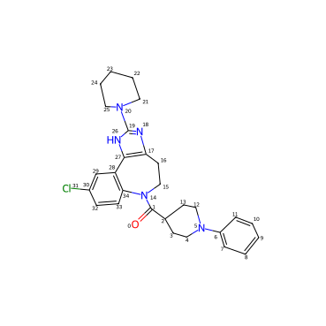 O=C(C1CCN(c2ccccc2)CC1)N1CCc2nc(N3CCCCC3)[nH]c2-c2cc(Cl)ccc21